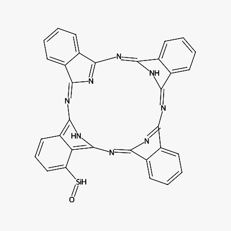 O=[SiH]c1cccc2c3nc4nc(nc5[nH]c(nc6nc(nc([nH]3)c12)-c1ccccc1-6)c1ccccc51)-c1ccccc1-4